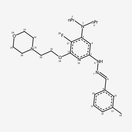 CCCN(CCC)c1cc(N/N=C/c2cccc(C)c2)nc(OCCN2CCOCC2)c1F